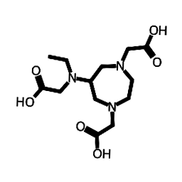 CCN(CC(=O)O)C1CN(CC(=O)O)CCN(CC(=O)O)C1